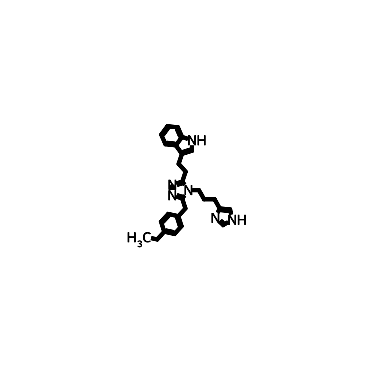 CCc1ccc(Cc2nnc(CCc3c[nH]c4ccccc34)n2CCCc2c[nH]cn2)cc1